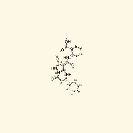 O=C(O)c1ccccc1NC(=O)c1c(=O)[nH]n2c(=O)cc(-c3ccccc3)[nH]c12